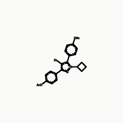 CCc1c(-c2ccc(OC(C)=O)cc2)nn(C2CCC2)c1-c1ccc(OC(C)=O)cc1